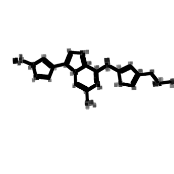 Cc1cn2c(-c3cnn(C)c3)cnc2c(Nc2cc(CNC(C)C)cs2)n1